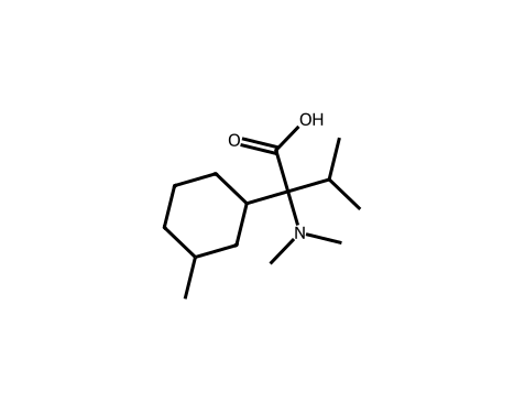 CC1CCCC(C(C(=O)O)(C(C)C)N(C)C)C1